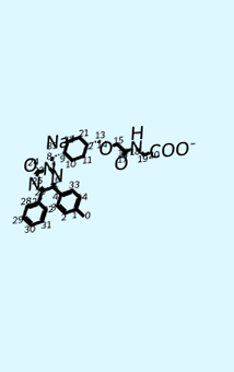 Cc1ccc(-c2nn(C[C@H]3CC[C@@H](COCC(=O)NCC(=O)[O-])CC3)c(=O)nc2-c2ccccc2)cc1.[Na+]